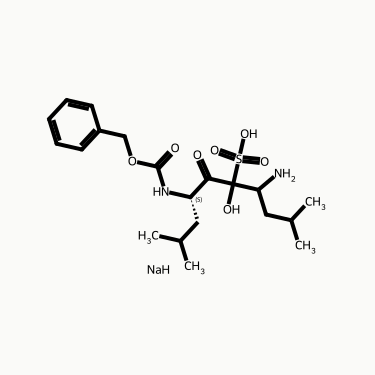 CC(C)CC(N)C(O)(C(=O)[C@H](CC(C)C)NC(=O)OCc1ccccc1)S(=O)(=O)O.[NaH]